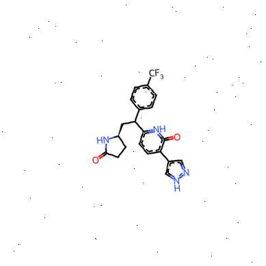 O=C1CC[C@H](CC(c2ccc(C(F)(F)F)cc2)c2ccc(-c3cn[nH]c3)c(=O)[nH]2)N1